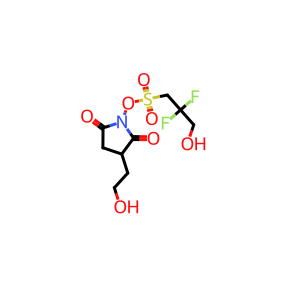 O=C1CC(CCO)C(=O)N1OS(=O)(=O)CC(F)(F)CO